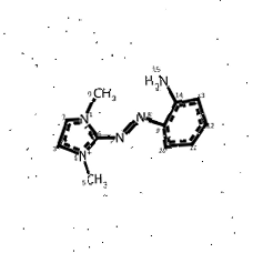 Cn1cc[n+](C)c1/N=N/c1ccccc1N